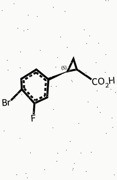 O=C(O)C1C[C@@H]1c1ccc(Br)c(F)c1